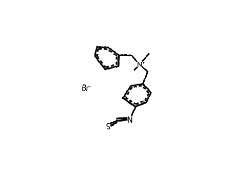 C[N+](C)(Cc1ccccc1)Cc1ccc(N=C=S)cc1.[Br-]